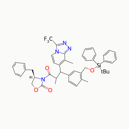 Cc1ccc(C(c2ccn3c(C(F)(F)F)nnc3c2C)C(C)C(=O)N2C(=O)OC[C@H]2Cc2ccccc2)cc1CO[Si](c1ccccc1)(c1ccccc1)C(C)(C)C